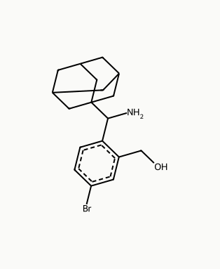 NC(c1ccc(Br)cc1CO)C12CC3CC(CC(C3)C1)C2